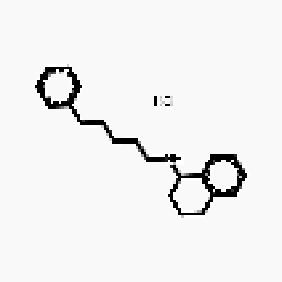 Cl.c1ccc(CCCCCNC2CCCc3ccccc32)cc1